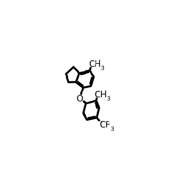 CC1=CC(C(F)(F)F)=CCC1Oc1ccc(C)c2c1CCC2